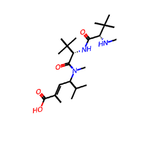 CN[C@H](C(=O)N[C@H](C(=O)N(C)C(/C=C(\C)C(=O)O)C(C)C)C(C)(C)C)C(C)(C)C